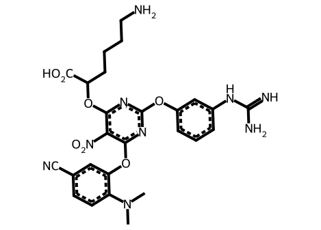 CN(C)c1ccc(C#N)cc1Oc1nc(Oc2cccc(NC(=N)N)c2)nc(OC(CCCCN)C(=O)O)c1[N+](=O)[O-]